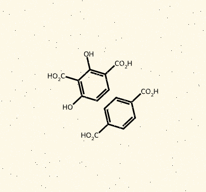 O=C(O)c1ccc(C(=O)O)cc1.O=C(O)c1ccc(O)c(C(=O)O)c1O